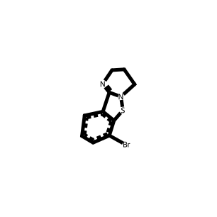 Brc1cccc2c1SN1CCCN=C21